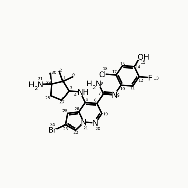 CC1(C)C(Nc2c(/C(N)=N/c3cc(F)c(O)cc3Cl)cnn3cc(Br)cc23)CC[C@]1(C)N